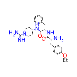 CCOc1ccc(C[C@@H](N)C(=O)N[C@@H](Cc2ccccc2)C(=O)NC2CCN(C(=N)N)CC2)cc1